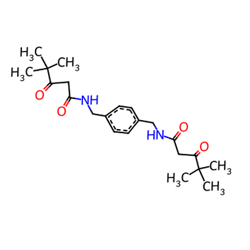 CC(C)(C)C(=O)CC(=O)NCc1ccc(CNC(=O)CC(=O)C(C)(C)C)cc1